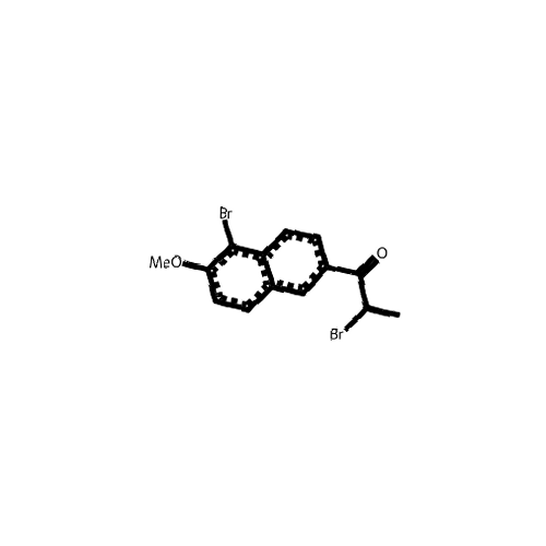 COc1ccc2cc(C(=O)C(C)Br)ccc2c1Br